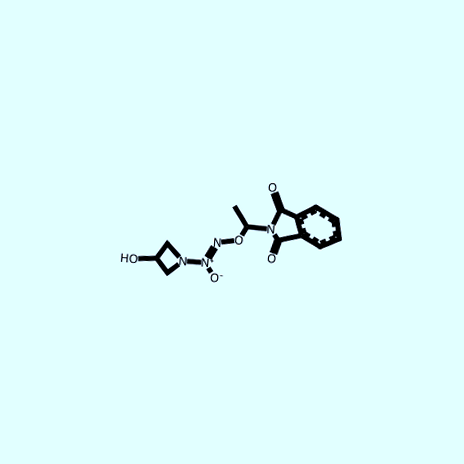 CC(ON=[N+]([O-])N1CC(O)C1)N1C(=O)c2ccccc2C1=O